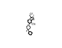 N#Cc1c(N2CCC(F)(c3ccccc3)CC2)ccn2c(CC(F)(F)F)nnc12